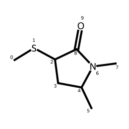 CSC1CC(C)N(C)C1=O